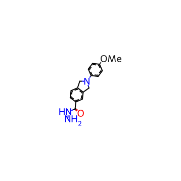 COc1ccc(N2Cc3ccc(C(=O)NN)cc3C2)cc1